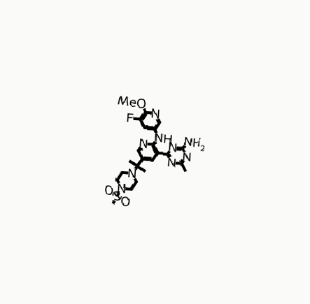 COc1ncc(Nc2ncc(C(C)(C)N3CCN(S(C)(=O)=O)CC3)cc2-c2nc(C)nc(N)n2)cc1F